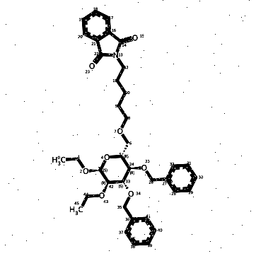 CCO[C@H]1O[C@H](COCCCCCN2C(=O)c3ccccc3C2=O)[C@@H](OCc2ccccc2)[C@H](OCc2ccccc2)[C@H]1OCC